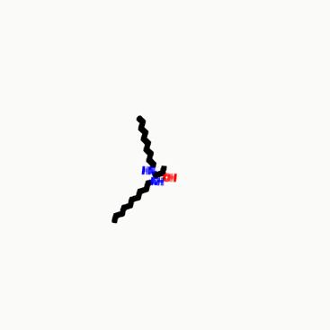 CCCCCCCCCCNC(NCCCCCCCCCC)C(C)O